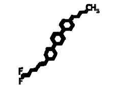 CCCCCC1CCC(C2CCC(C3CCC(C=CCCC=C(F)F)CC3)CC2)CC1